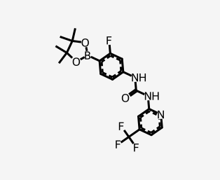 CC1(C)OB(c2ccc(NC(=O)Nc3cc(C(F)(F)F)ccn3)cc2F)OC1(C)C